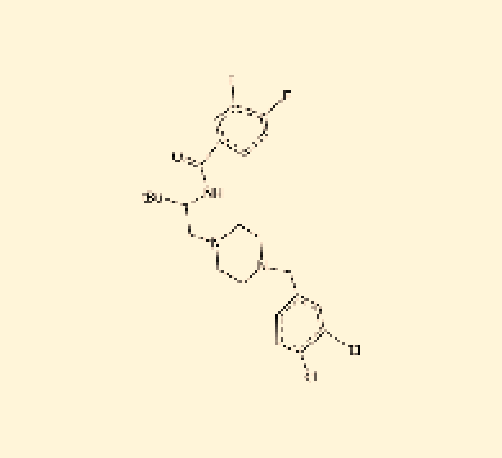 CC(C)(C)C(CN1CCN(Cc2ccc(Cl)c(Cl)c2)CC1)NC(=O)c1ccc(F)c(F)c1